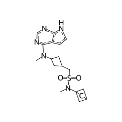 CN(c1ncnc2[nH]ccc12)C1CC(CS(=O)(=O)N(C)C23CC(C2)C3)C1